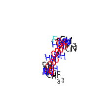 Cc1c(-c2ccnn2-c2ccc(C#N)cc2)cc(C(=O)NCCOCCOCCNC(=O)CCC(=O)NCCOCCOCCNC(=O)c2cc(-c3ccnn3-c3ccc(C#N)cc3)c(C)n(-c3cccc(C(F)(F)F)c3)c2=O)c(=O)n1-c1cccc(CF)c1